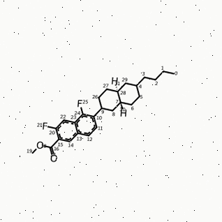 CCCCC1CC[C@@H]2CC(c3ccc4cc(C(=O)OC)c(F)cc4c3F)CC[C@H]2C1